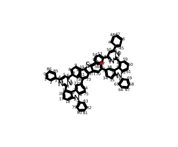 c1ccc(-c2cc(-c3ccccc3)nc(-c3cccc4c3c3cc(-c5ccc6sc7ccc(-c8ccc9c(c8)c8c(-c%10nc(-c%11ccccc%11)cc(-c%11ccccc%11)n%10)cccc8n9-c8ccccc8)cc7c6c5)ccc3n4-c3ccccc3)n2)cc1